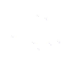 Cc1ncnc2ccc(-c3sc(N4CCOCC45CCN(C(N)=O)CC5)nc3-c3cccc(C#N)c3)cc12